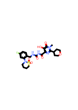 Cn1c(C2CCOCC2)nc(C(=O)NC(=O)NCc2ccc(F)cc2N2CCCCS2(=O)=O)c(O)c1=O